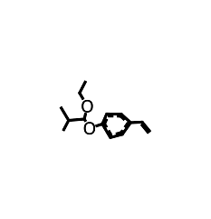 C=Cc1ccc(OC(OCC)C(C)C)cc1